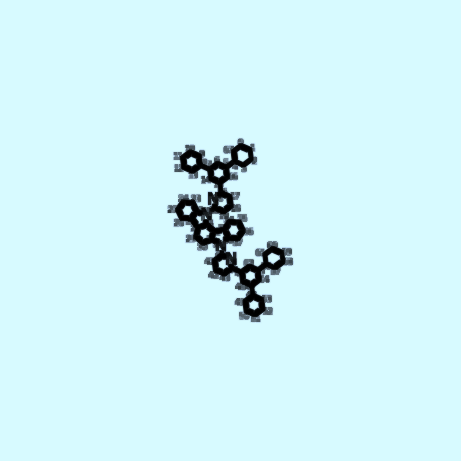 C1=CCCC(c2cc(-c3ccccc3)cc(-c3cccc(-n4c5ccccc5c5ccc6c(c7ccccc7n6-c6cccc(-c7cc(-c8ccccc8)cc(C8C=CC=CC8)c7)n6)c54)n3)c2)=C1